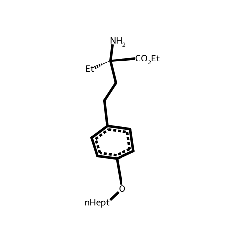 CCCCCCCOc1ccc(CC[C@](N)(CC)C(=O)OCC)cc1